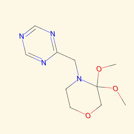 COC1(OC)COCCN1Cc1ncncn1